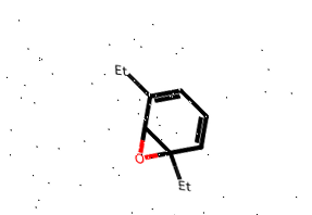 CCC1=CC=CC2(CC)OC12